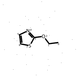 CCOc1nccs1